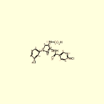 O=C(O)Nc1cn(-c2cccc(Cl)c2)nc1NC(=O)c1ccc(Cl)nc1